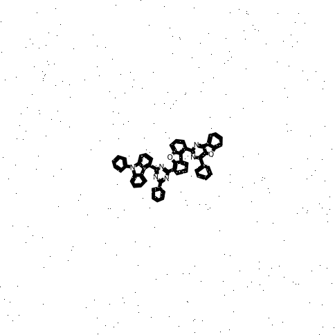 c1ccc(-c2nc(-c3cccc4c3oc3cccc(-c5nc(-c6ccccc6)c6oc7ccccc7c6n5)c34)nc(-c3cccc4c3c3ccccc3n4-c3ccccc3)n2)cc1